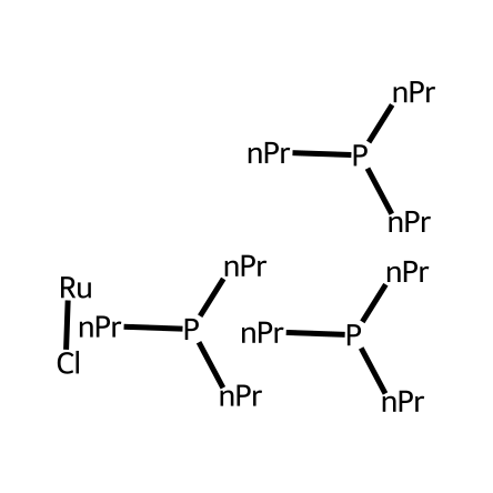 CCCP(CCC)CCC.CCCP(CCC)CCC.CCCP(CCC)CCC.[Cl][Ru]